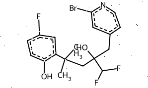 CC(C)(CC(O)(Cc1ccnc(Br)c1)C(F)F)c1cc(F)ccc1O